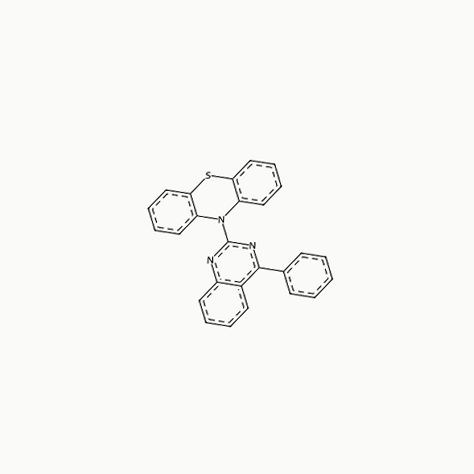 c1ccc(-c2nc(N3c4ccccc4Sc4ccccc43)nc3ccccc23)cc1